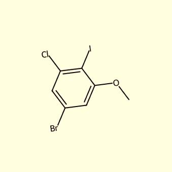 COc1cc(Br)cc(Cl)c1I